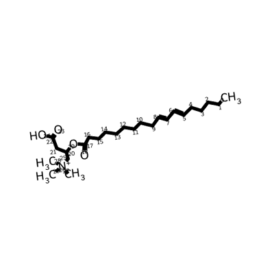 CCCCC/C=C/C=C/CCCCCCCCC(=O)OC(CC(=O)O)C[N+](C)(C)C